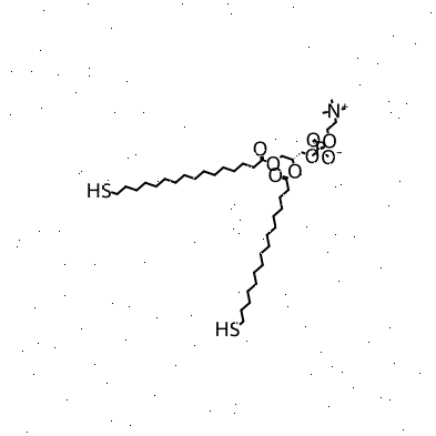 C[N+](C)(C)CCOP(=O)([O-])OC[C@@H](COC(=O)CCCCCCCCCCCCCCCS)OC(=O)CCCCCCCCCCCCCCCS